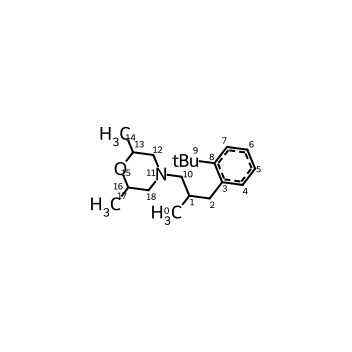 CC(Cc1ccccc1C(C)(C)C)CN1CC(C)OC(C)C1